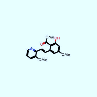 COC(=O)c1c(O)cc(OC)cc1/C=C/c1ncccc1OC